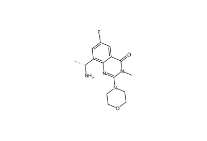 C[C@@H](N)c1cc(F)cc2c(=O)n(C)c(N3CCOCC3)nc12